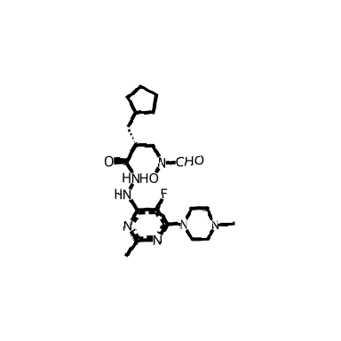 Cc1nc(NNC(=O)[C@H](CC2CCCC2)CN(O)C=O)c(F)c(N2CCN(C)CC2)n1